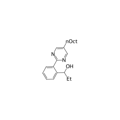 CCCCCCCCc1cnc(-c2ccccc2C(O)CC)nc1